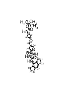 CC(C)(C)OC(=O)NC1CC(OCc2coc([S@](=N)(=O)NC(=O)Nc3c4c(cc5c3CCC5)CCC4)c2)C1